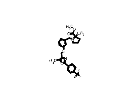 COC(=O)C1(C)CCCN1Cc1cccc(OCc2nc(-c3ccc(C(F)(F)F)cc3)oc2C)c1